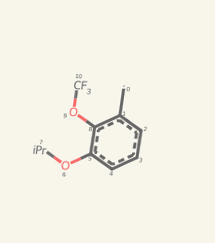 [CH2]c1cccc(OC(C)C)c1OC(F)(F)F